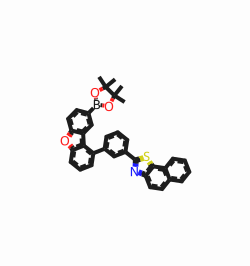 CC1(C)OB(c2ccc3oc4cccc(-c5cccc(-c6nc7ccc8ccccc8c7s6)c5)c4c3c2)OC1(C)C